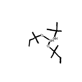 CCC(C)(C)O[SiH](NC(C)(C)C)OC(C)(C)CC